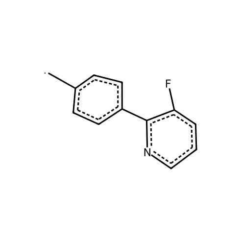 [CH2]c1ccc(-c2ncccc2F)cc1